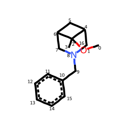 COC1(C)C2CC1CN(Cc1ccccc1)C2